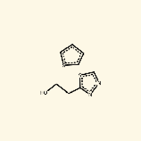 OCCc1nncs1.c1ccsc1